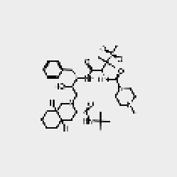 CN1CCN(C(=O)N[C@H](C(=O)N[C@@H](Cc2ccccc2)[C@H](O)CN2C[C@H]3CCCC[C@H]3C[C@H]2C(=O)NC(C)(C)C)C(C)(C)S(C)(=O)=O)CC1